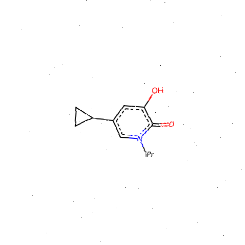 CC(C)n1cc(C2CC2)cc(O)c1=O